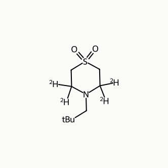 [2H]C1([2H])CS(=O)(=O)CC([2H])([2H])N1CC(C)(C)C